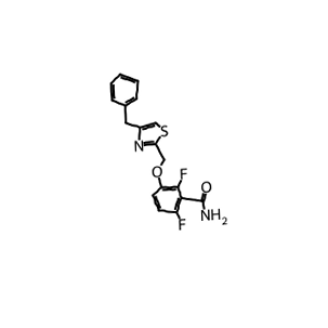 NC(=O)c1c(F)ccc(OCc2nc(Cc3ccccc3)cs2)c1F